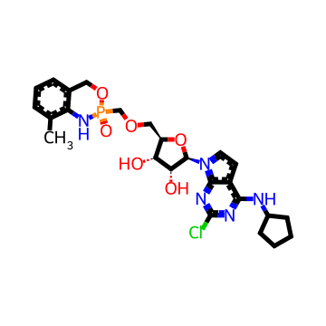 Cc1cccc2c1NP(=O)(COC[C@H]1O[C@@H](n3ccc4c(NC5CCCC5)nc(Cl)nc43)[C@H](O)[C@@H]1O)OC2